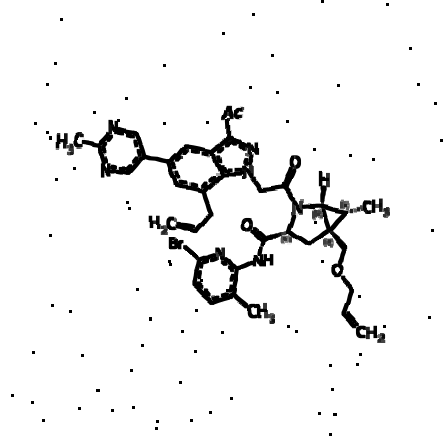 C=CCOC[C@@]12C[C@@H](C(=O)Nc3nc(Br)ccc3C)N(C(=O)Cn3nc(C(C)=O)c4cc(-c5cnc(C)nc5)cc(CC=C)c43)[C@@H]1[C@@H]2C